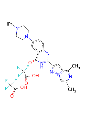 Cc1cn2nc(-c3nc4ccc(N5CCN(C(C)C)CC5)cc4c(=O)[nH]3)cc2c(C)n1.O=C(O)C(F)(F)F.O=C(O)C(F)(F)F